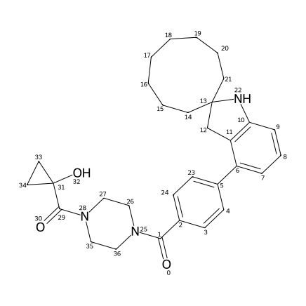 O=C(c1ccc(-c2cccc3c2CC2(CCCCCCCC2)N3)cc1)N1CCN(C(=O)C2(O)CC2)CC1